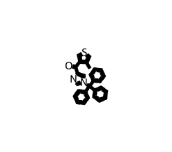 Cc1cscc1C(=O)c1cn(C(c2ccccc2)(c2ccccc2)c2ccccc2)cn1